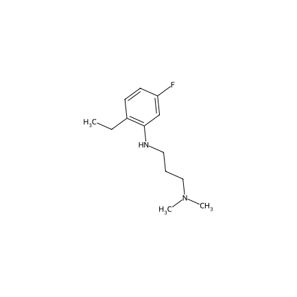 CCc1ccc(F)cc1NCCCN(C)C